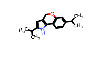 CC(C)c1ccc2c(c1)OCc1cc(C(C)C)[nH]c1-2